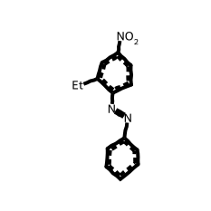 CCc1cc([N+](=O)[O-])ccc1N=Nc1ccccc1